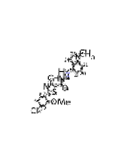 COc1cc(Cl)ccc1-c1nc(C)c(C(=O)N/N=C/c2cccc3c2ccn3C)s1